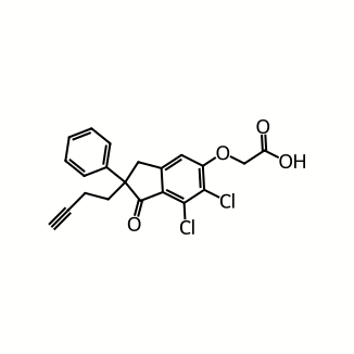 C#CCCC1(c2ccccc2)Cc2cc(OCC(=O)O)c(Cl)c(Cl)c2C1=O